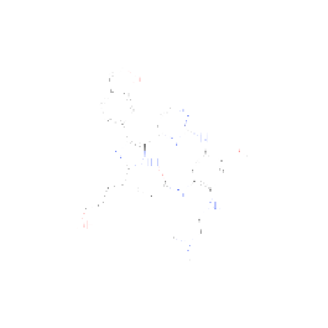 C=CC(=O)Nc1cc(Nc2nccc(-c3[nH]c(CCCCO)nc3-c3ccc4ccoc4c3)n2)c(OC)cc1N(C)CCN(C)C